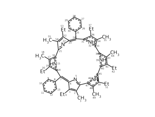 CCC1=C(C)C2=N/C1=C(/c1ccccc1)c1[nH]c(c(C)c1CC)C1=N/C(=C(/c3ccccc3)c3[nH]c(c(C)c3CC)-c3[nH]c(c(CC)c3C)-c3[nH]c2c(C)c3CC)C(CC)=C1C